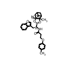 Cc1ccc(OCCC(=O)N[C@@H](Cc2coc3ccccc23)B2O[C@@H]3CC4CC(C4(C)C)[C@]3(C)O2)cc1